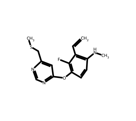 C=Cc1c(NC)ccc(Oc2cc(CSC)ncn2)c1F